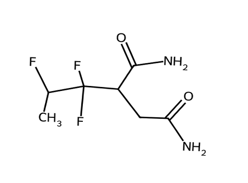 CC(F)C(F)(F)C(CC(N)=O)C(N)=O